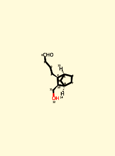 O=CCCC[C@H]1[C@H]2CC[C@H](C2)[C@H]1CO